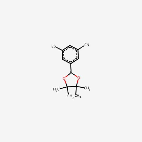 CCc1cc(C#N)cc(B2OC(C)(C)C(C)(C)O2)c1